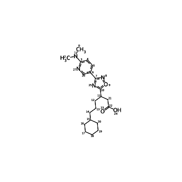 CN(C)c1ccc(-c2noc(C(CCCC3CCCCC3)CC(=O)O)n2)cn1